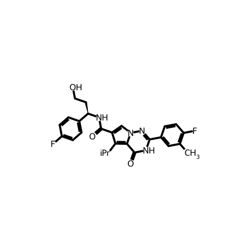 Cc1cc(-c2nn3cc(C(=O)N[C@H](CCO)c4ccc(F)cc4)c(C(C)C)c3c(=O)[nH]2)ccc1F